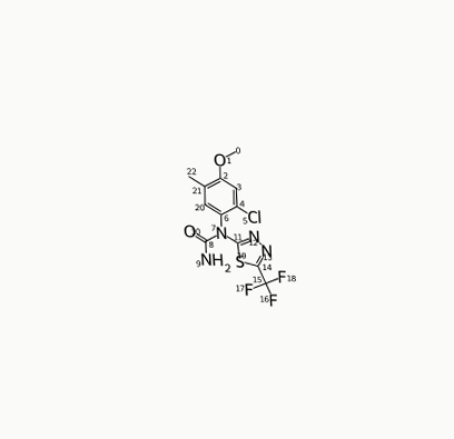 COc1cc(Cl)c(N(C(N)=O)c2nnc(C(F)(F)F)s2)cc1C